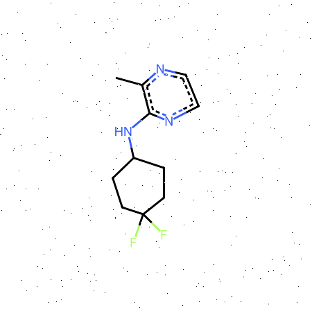 Cc1nccnc1NC1CCC(F)(F)CC1